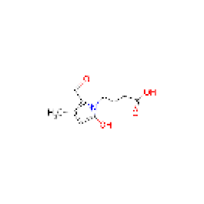 Cc1cc(O)n(CCCC(=O)O)c1C=O